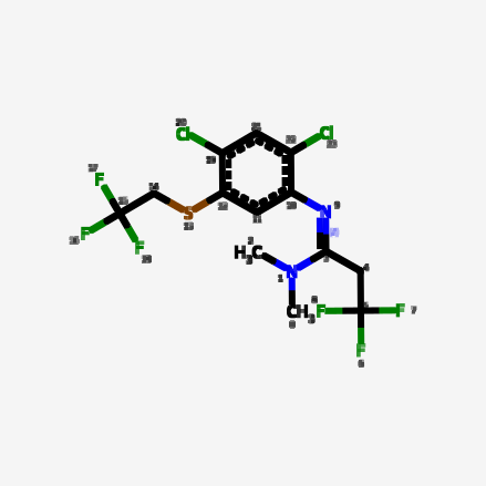 CN(C)/C(CC(F)(F)F)=N\c1cc(SCC(F)(F)F)c(Cl)cc1Cl